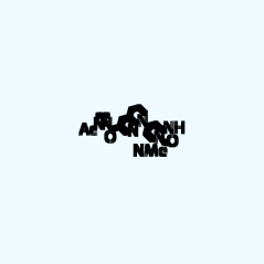 CNC(=O)n1ccc(N2CCCc3cc(C(=O)N4CCN4C(C)=O)cnc32)cc1=N